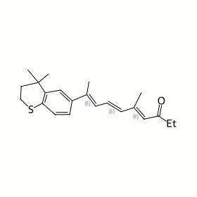 CCC(=O)/C=C(C)/C=C/C=C(\C)c1ccc2c(c1)C(C)(C)CCS2